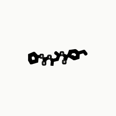 CCc1ccc(C(=O)OC(C)CC(C)OC(=O)Oc2ccccc2)cc1